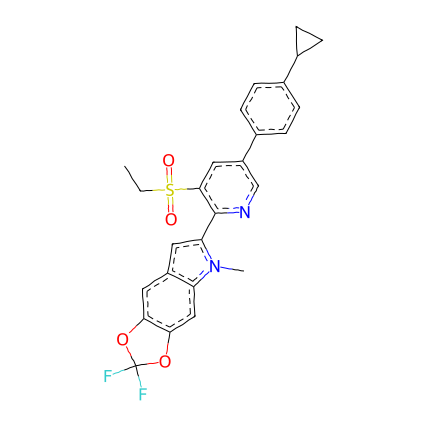 CCS(=O)(=O)c1cc(-c2ccc(C3CC3)cc2)cnc1-c1cc2cc3c(cc2n1C)OC(F)(F)O3